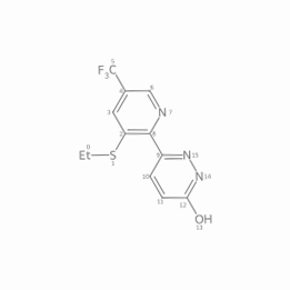 CCSc1cc(C(F)(F)F)cnc1-c1ccc(O)nn1